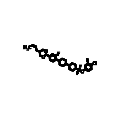 C/C=C\CC1COC(c2ccc(C3CCC(C4CCC(C(F)(F)Oc5ccc(Cl)c(F)c5)CC4)CC3)c(F)c2)OC1